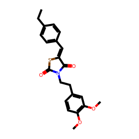 CCc1ccc(/C=C2\SC(=O)N(CCc3ccc(OC)c(OC)c3)C2=O)cc1